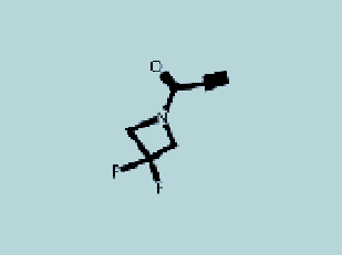 C#CC(=O)N1CC(F)(F)C1